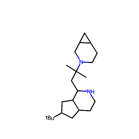 CC(C)(C)C1CC2CCNC(CC(C)(C)N3CCC4CC4C3)C2C1